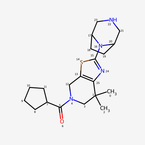 CC1(C)CN(C(=O)C2CCCC2)Cc2sc(N3C4CCC3CNC4)nc21